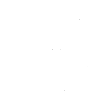 CC(C)(C)CNc1c(C#N)cnc2c(Cl)cc(N[C@H](c3cn(C4CC4)nn3)c3cncc4cnccc34)cc12